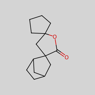 O=C1OC2(CCCC2)CC12CC1CCC2C1